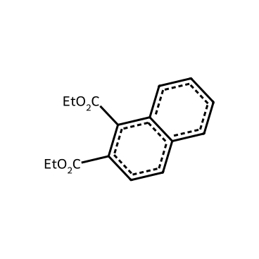 CCOC(=O)c1ccc2ccccc2c1C(=O)OCC